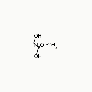 O.OCCO.[PbH2]